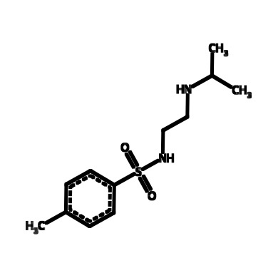 Cc1ccc(S(=O)(=O)NCCNC(C)C)cc1